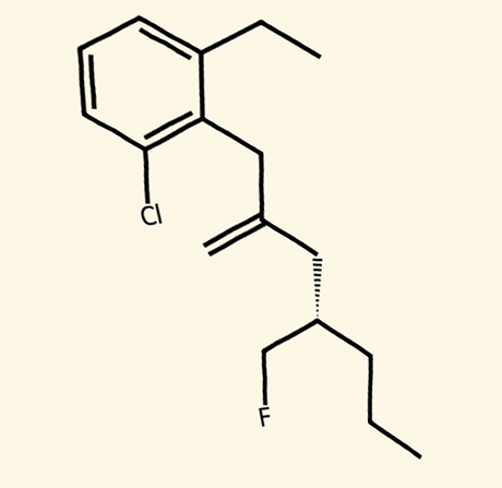 C=C(Cc1c(Cl)cccc1CC)C[C@@H](CF)CCC